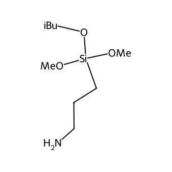 CCC(C)O[Si](CCCN)(OC)OC